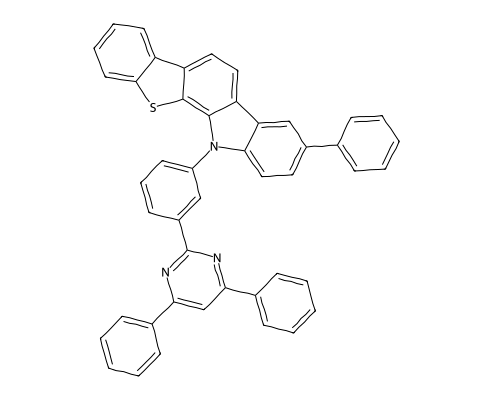 c1ccc(-c2ccc3c(c2)c2ccc4c5ccccc5sc4c2n3-c2cccc(-c3nc(-c4ccccc4)cc(-c4ccccc4)n3)c2)cc1